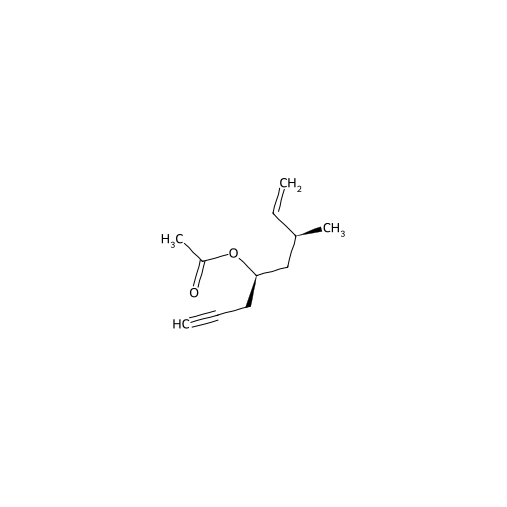 C#CC[C@H](C[C@H](C)C=C)OC(C)=O